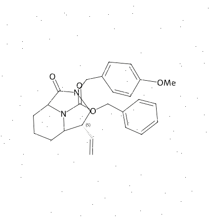 C=C[C@H]1CN(Cc2ccc(OC)cc2)C(=O)C2CCCC1N2C(=O)OCc1ccccc1